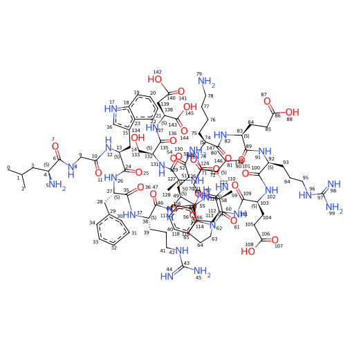 CC(C)C[C@H](N)C(=O)NCC(=O)N[C@@H](Cc1c[nH]c2ccccc12)C(=O)N[C@@H](Cc1ccccc1)C(=O)N[C@@H](CCCNC(=N)N)C(=O)N[C@@H](CCC(N)=O)C(=O)N[C@@H](C)C(=O)N1CCC[C@H]1C(=O)NCC(=O)N[C@@H](CCCCN)C(=O)N[C@@H](CCC(=O)O)C(=O)N[C@@H](CCCNC(=N)N)C(=O)N[C@@H](CCC(=O)O)C(=O)N[C@@H](Cc1ccccc1)C(=O)N[C@H](C(=O)N[C@@H](C)C(=O)N[C@@H](CO)C(=O)N[C@@H](CC(=O)O)C(=O)O)C(C)C